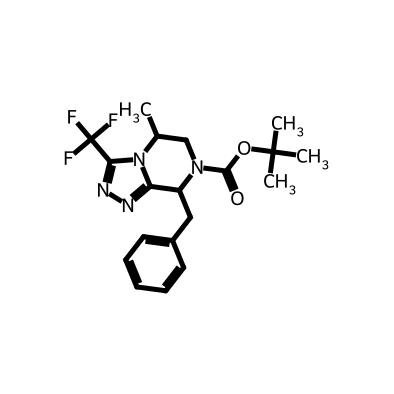 CC1CN(C(=O)OC(C)(C)C)C(Cc2ccccc2)c2nnc(C(F)(F)F)n21